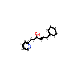 OC(/C=C/CC1CCCCC1)CCc1ccccn1